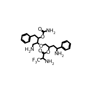 NCC(OCC(CC(N)c1ccccc1)OC(=O)C(N)C(F)(F)F)C(Cc1ccccc1)OC(N)=O